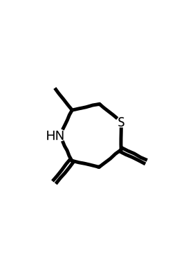 C=C1CC(=C)SCC(C)N1